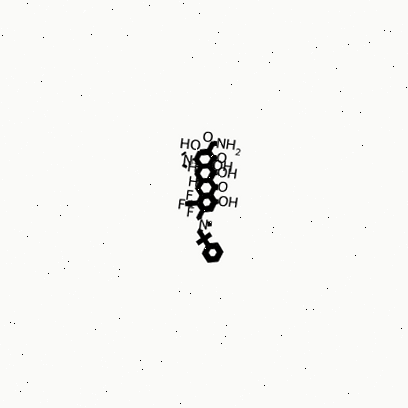 CN(Cc1cc(O)c2c(c1C(F)(F)F)C[C@H]1C[C@H]3[C@H](N(C)C)C(O)=C(C(N)=O)C(=O)[C@@]3(O)C(O)=C1C2=O)CC(C)(C)c1ccccc1